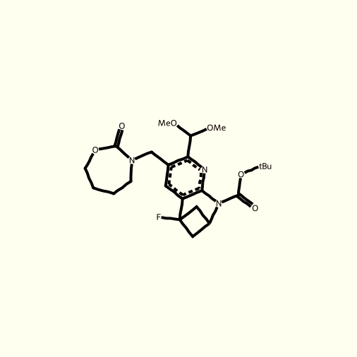 COC(OC)c1nc2c(cc1CN1CCCCOC1=O)C1(F)CC(C1)N2C(=O)OC(C)(C)C